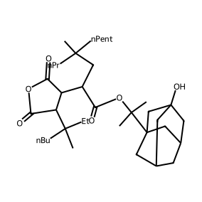 CCCCCC(C)(CCC)CC(C(=O)OC(C)(C)C12CC3CC(CC(O)(C3)C1)C2)C1C(=O)OC(=O)C1C(C)(CC)CCCC